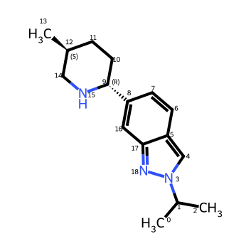 CC(C)n1cc2ccc([C@H]3CC[C@H](C)CN3)cc2n1